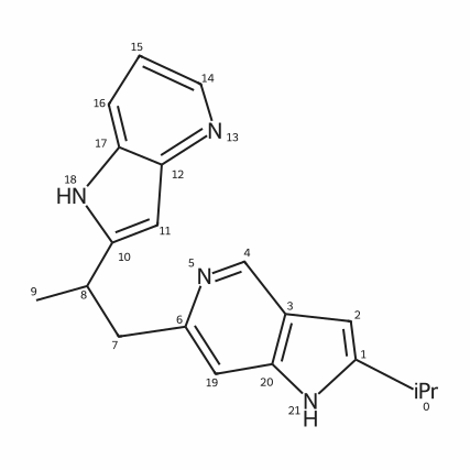 CC(C)c1cc2cnc(CC(C)c3cc4ncccc4[nH]3)cc2[nH]1